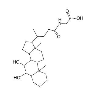 CC(CCC(=O)NCC(=O)O)C1CCC2C3C(O)C(O)C4CCCCC4(C)C3CCC12C